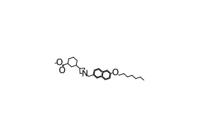 CCCCCCCOc1ccc2cc(CN3CC(C4CCCC(C(=O)OC)C4)C3)ccc2c1